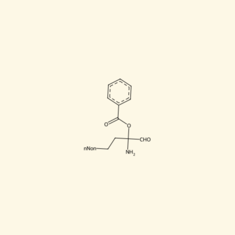 CCCCCCCCCCCC(N)(C=O)OC(=O)c1ccccc1